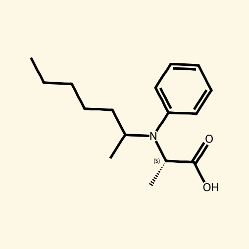 CCCCCC(C)N(c1ccccc1)[C@@H](C)C(=O)O